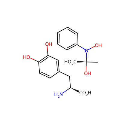 C[C@@](O)(C(=O)O)N(O)c1ccccc1.N[C@@H](Cc1ccc(O)c(O)c1)C(=O)O